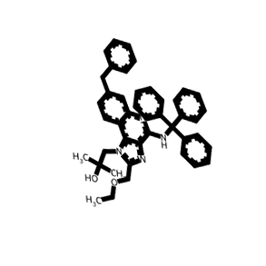 CCOCc1nc2c(NC(c3ccccc3)(c3ccccc3)c3ccccc3)nc3cc(Cc4ccccc4)ccc3c2n1CC(C)(C)O